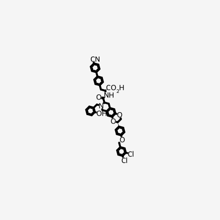 N#Cc1ccc(-c2ccc(C[C@H](NC(=O)C3Cc4cc5c(cc4CN3Cc3ccccc3O)O[C@@H](c3ccc(OCc4ccc(Cl)c(Cl)c4)cc3)CO5)C(=O)O)cc2)cc1